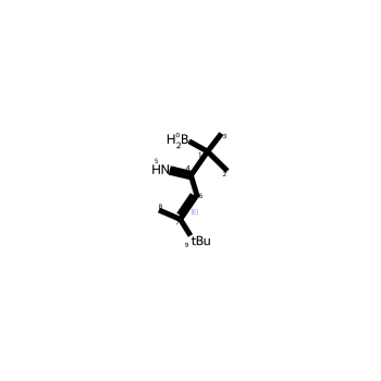 BC(C)(C)C(=N)/C=C(\C)C(C)(C)C